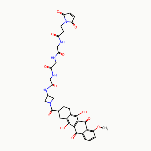 COc1cccc2c1C(=O)c1c(O)c3c(c(O)c1C2=O)C[C@@H](C(=O)N1CC(NC(=O)CNC(=O)CNC(=O)CNC(=O)CCN2C(=O)C=CC2=O)C1)CC3